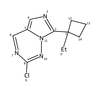 CCC1(c2ncc3cnc(Cl)nn23)CCC1